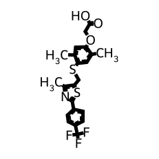 Cc1cc(SCc2sc(-c3ccc(C(F)(F)F)cc3)nc2C)c(C)cc1OCC(=O)O